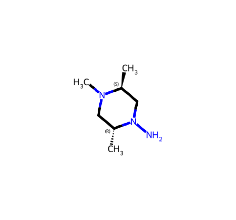 C[C@@H]1CN(C)[C@@H](C)CN1N